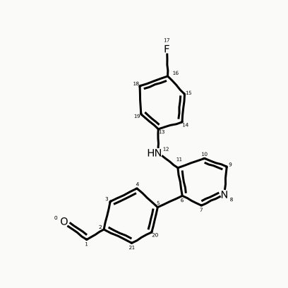 O=Cc1ccc(-c2cnccc2Nc2ccc(F)cc2)cc1